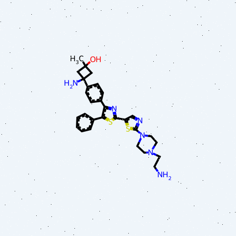 CC1(O)CC(N)(c2ccc(-c3nc(-c4cnc(N5CCN(CCN)CC5)s4)sc3-c3ccccc3)cc2)C1